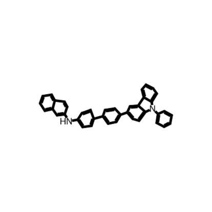 c1ccc(-n2c3ccccc3c3cc(-c4ccc(-c5ccc(Nc6ccc7ccccc7c6)cc5)cc4)ccc32)cc1